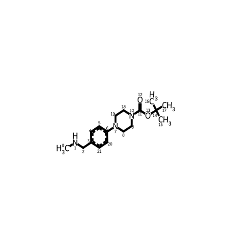 CNCc1ccc(N2CCN(C(=O)OC(C)(C)C)CC2)cc1